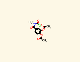 CC(=O)Oc1ccc(C(=O)N(C)C(=O)Cl)cc1OC(C)=O